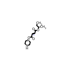 CC[C@H](C)OC(=O)/C=C/C(=O)ON1CCNCC1